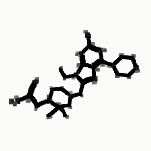 CCn1c(CN2CCN(CC(N)=O)C(C)(C)C2)nc2c(N3CCOCC3)nc(Cl)nc21